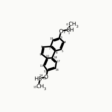 CBOc1ccc2c(ccc3cc(OBC)ccc32)c1